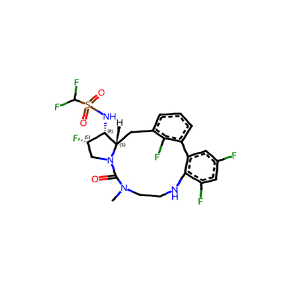 CN1CCNc2c(F)cc(F)cc2-c2cccc(c2F)C[C@H]2[C@@H](NS(=O)(=O)C(F)F)[C@@H](F)CN2C1=O